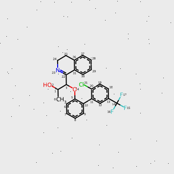 CC(O)C(Oc1ccccc1-c1cc(C(F)(F)F)ccc1Cl)C1=NCCc2ccccc21